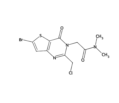 CN(C)C(=O)Cn1c(CCl)nc2cc(Br)sc2c1=O